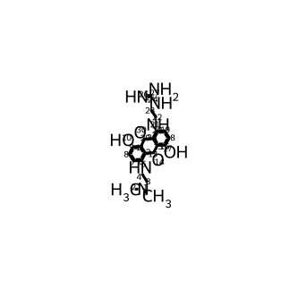 CN(C)CCNc1ccc(O)c2c1C(=O)c1c(O)ccc(NCCNC(=N)N)c1C2=O